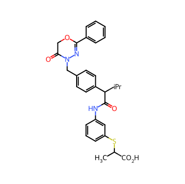 CC(Sc1cccc(NC(=O)C(c2ccc(CN3N=C(c4ccccc4)OCC3=O)cc2)C(C)C)c1)C(=O)O